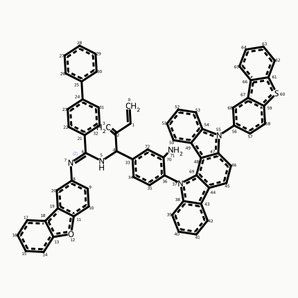 C=CC(=C)C(N/C(=N\c1ccc2oc3ccccc3c2c1)c1ccc(-c2ccccc2)cc1)c1ccc(-n2c3ccccc3c3ccc4c(c5ccccc5n4-c4ccc5sc6ccccc6c5c4)c32)c(N)c1